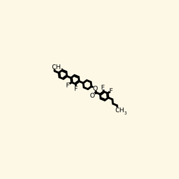 CCCCc1ccc(C(=O)OC2CCC(c3ccc(-c4ccc(CC)cc4)c(F)c3F)CC2)c(F)c1F